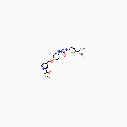 CCC/C(=C(Cl)\C=C/CNC(=O)NC1CCC(OCc2ccnc(C(=O)OC(C)C)c2)CC1)C(F)(F)F